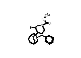 CC(C)(C)OC(=O)N1CCC(N2CC3CCC2CN(Cc2ccccc2)C3)C(F)C1